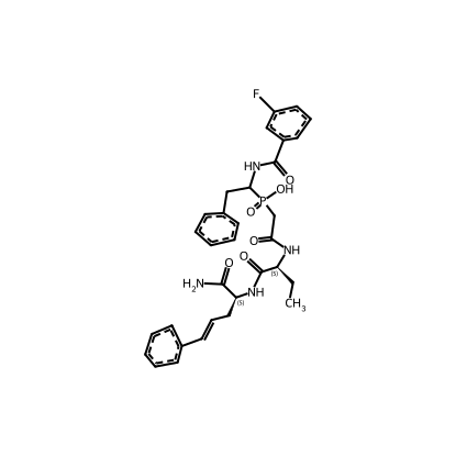 CC[C@H](NC(=O)CP(=O)(O)C(Cc1ccccc1)NC(=O)c1cccc(F)c1)C(=O)N[C@@H](CC=Cc1ccccc1)C(N)=O